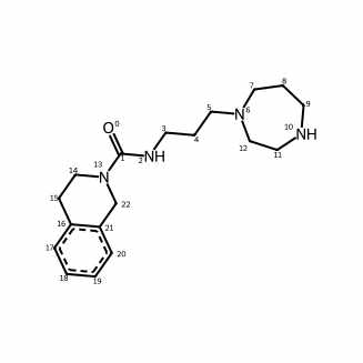 O=C(NCCCN1CCCNCC1)N1CCc2ccccc2C1